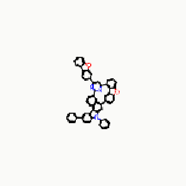 c1ccc(-c2ccc3c(c2)c2ccc(-c4ccc5oc6cccc(-c7cc(-c8ccc9c(c8)oc8ccccc89)nc(-c8ccccc8)n7)c6c5c4)cc2n3-c2ccccc2)cc1